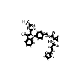 Cc1nc(-c2c(Cl)c3ccccc3n2-c2ccc(CNC(=O)C3(NC(=O)C=Cc4ccco4)CC3)cc2)no1